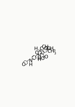 CC1(C)Cc2c(sc(NC(=O)c3ccc(NCC4CCOCC4)cc3)c2C(=O)O)C(C)(C)O1